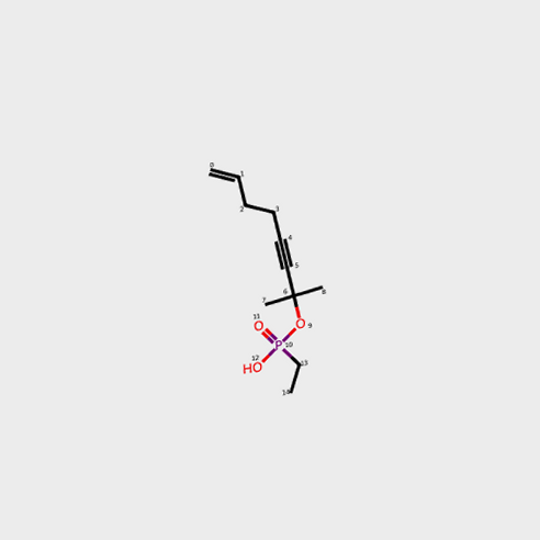 C=CCCC#CC(C)(C)OP(=O)(O)CC